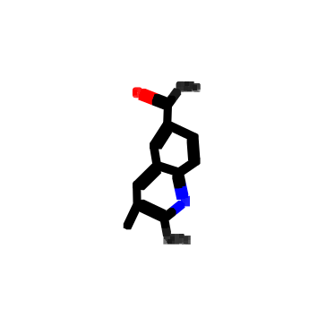 COC(=O)c1ccc2nc(NC(C)=O)c(C)cc2c1